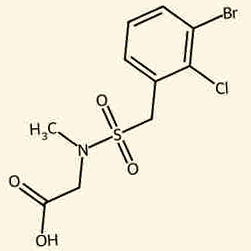 CN(CC(=O)O)S(=O)(=O)Cc1cccc(Br)c1Cl